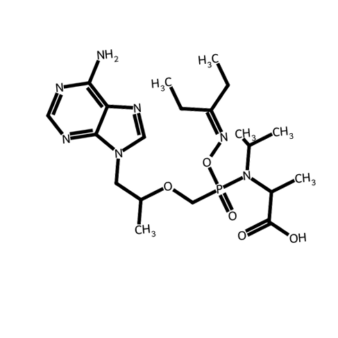 CCC(CC)=NOP(=O)(COC(C)Cn1cnc2c(N)ncnc21)N(C(C)C)C(C)C(=O)O